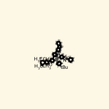 CC(C)(C)c1ccc(Nc2cc3oc4cc5c(cc4c3cc2-c2ccc3c4cc6c(cc4n4c3c2Bc2cc3nc(-c7ccccc7)sc3cc2-4)sc2ccccc26)C(C)(C)CCC5(C)C)cc1